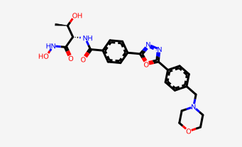 C[C@@H](O)[C@H](NC(=O)c1ccc(-c2nnc(-c3ccc(CN4CCOCC4)cc3)o2)cc1)C(=O)NO